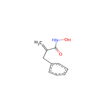 C=C(Cc1ccccc1)C(=O)NO